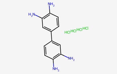 Cl.Cl.Cl.Cl.Nc1ccc(-c2ccc(N)c(N)c2)cc1N